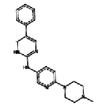 CN1CCN(c2ccc(NC3=NC=C(c4ccccc4)[CH]N3)cn2)CC1